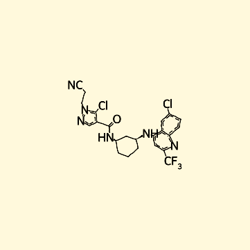 N#CCCn1ncc(C(=O)N[C@@H]2CCC[C@H](Nc3cc(C(F)(F)F)nc4ccc(Cl)cc34)C2)c1Cl